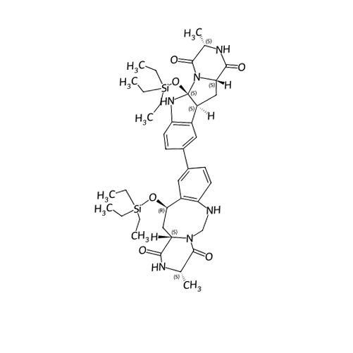 CC[Si](CC)(CC)O[C@@H]1C[C@H]2C(=O)N[C@@H](C)C(=O)N2CNc2ccc(-c3ccc4c(c3)[C@@H]3C[C@H]5C(=O)N[C@@H](C)C(=O)N5[C@@]3(O[Si](CC)(CC)CC)N4)cc21